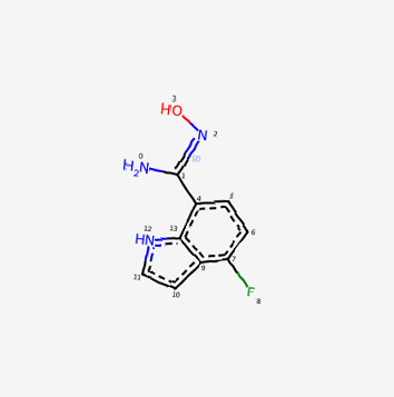 N/C(=N\O)c1ccc(F)c2cc[nH]c12